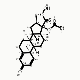 CCC(=O)O[C@]1(C(=S)OO)[C@H](C)C[C@H]2[C@@H]3CCC4=CC(=O)C=C[C@]4(C)[C@H]3CC[C@@]21C